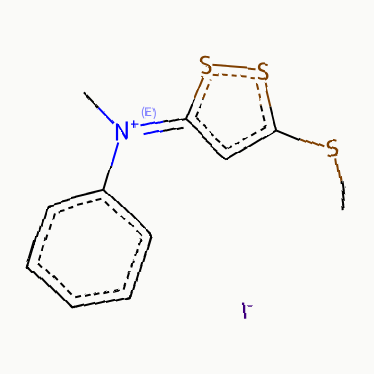 CSc1c/c(=[N+](/C)c2ccccc2)ss1.[I-]